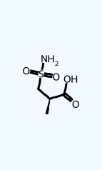 C[C@@H](CS(N)(=O)=O)C(=O)O